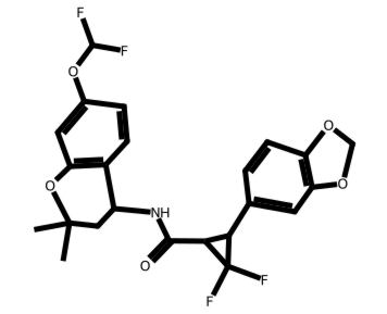 CC1(C)CC(NC(=O)C2C(c3ccc4c(c3)OCO4)C2(F)F)c2ccc(OC(F)F)cc2O1